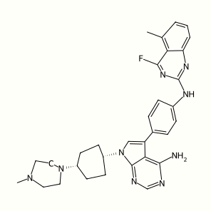 Cc1cccc2nc(Nc3ccc(-c4cn([C@H]5CC[C@@H](N6CCN(C)CC6)CC5)c5ncnc(N)c45)cc3)nc(F)c12